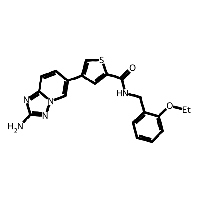 CCOc1ccccc1CNC(=O)c1cc(-c2ccc3nc(N)nn3c2)cs1